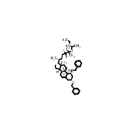 CCOC(C)OC(C)(C)C(F)(F)CC[C@@H](C)[C@H]1CC[C@H]2[C@@H]3CC=C4C[C@@H](OCc5ccccc5)C[C@H](OCc5ccccc5)[C@]4(C)[C@H]3CC[C@]12C